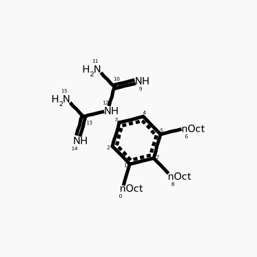 CCCCCCCCc1cccc(CCCCCCCC)c1CCCCCCCC.N=C(N)NC(=N)N